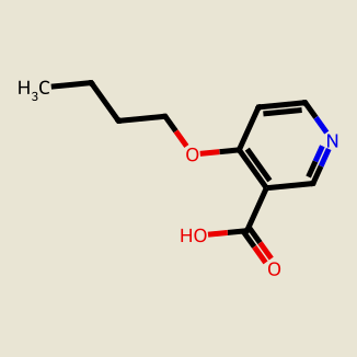 CCCCOc1ccncc1C(=O)O